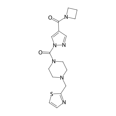 O=C(c1cnn(C(=O)N2CCN(Cc3nccs3)CC2)c1)N1CCC1